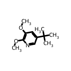 COc1cc(C(C)(C)C)cnc1OC